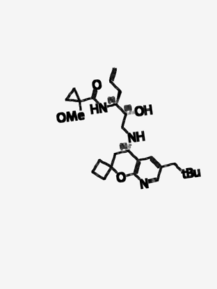 C=CC[C@H](NC(=O)C1(OC)CC1)[C@H](O)CN[C@H]1CC2(CCC2)Oc2ncc(CC(C)(C)C)cc21